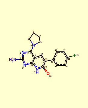 Nc1nc(N2CCCC2)c2cc(-c3ccc(F)cc3)c(=O)[nH]c2n1